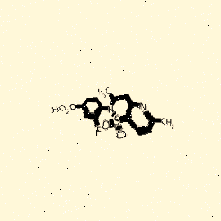 Cc1ccc2c(n1)CC(C)N(c1ccc(C(=O)O)cc1F)S2(=O)=O